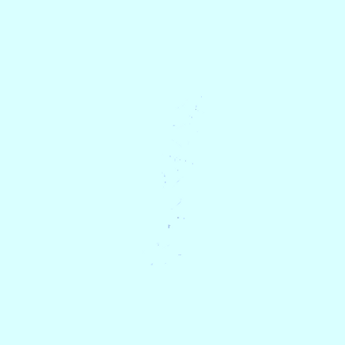 O=C(C=Cc1ccn(S(=O)(=O)c2ccc(-n3cccn3)cc2)c1)NOC1CCCCO1